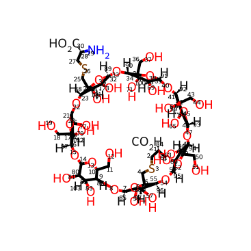 C[C@H](CSCC1O[C@@H]2O[C@@H]3C(CO)OC(O[C@@H]4C(CO)OC(O[C@@H]5C(CSC[C@@H](N)C(=O)O)O[C@@H](O[C@@H]6C(CO)O[C@H](O[C@@H]7C(CO)O[C@H](O[C@@H]8C(CO)O[C@H](O[C@H]1[C@H](O)C2O)C(O)[C@H]8O)[C@@H](O)C7O)[C@@H](O)C6O)[C@@H](O)C5O)C(O)[C@H]4O)C(O)[C@H]3O)C(=O)O